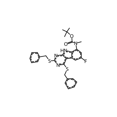 CN(C(=O)OC(C)(C)C)c1cc(F)cc2c1[nH]c1nc(SCc3ccccc3)nc(SCc3ccccc3)c12